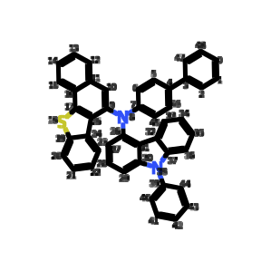 c1ccc(-c2ccc(N(c3cc4ccccc4c4sc5ccccc5c34)c3cccc4c3c3ccccc3n4-c3ccccc3)cc2)cc1